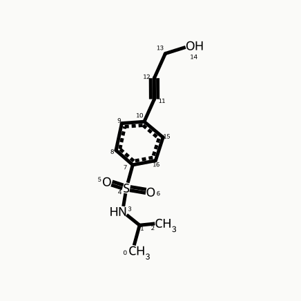 CC(C)NS(=O)(=O)c1ccc(C#CCO)cc1